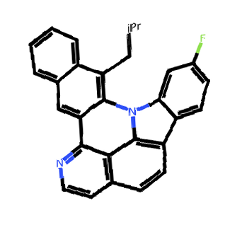 CC(C)Cc1c2ccccc2cc2c3nccc4ccc5c6ccc(F)cc6n(c12)c5c43